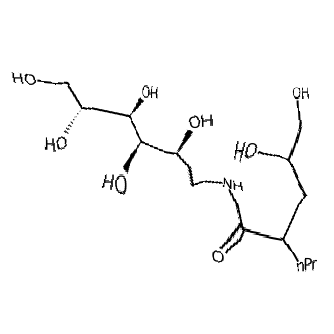 CCCC(CC(O)CO)C(=O)NC[C@H](O)[C@@H](O)[C@H](O)[C@H](O)CO